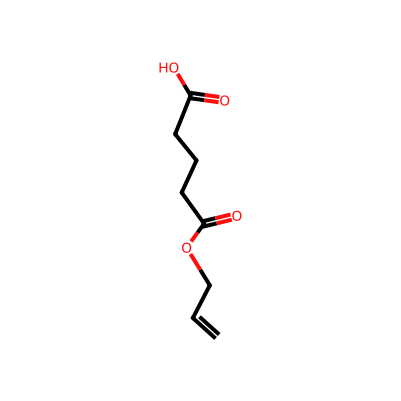 C=CCOC(=O)CCCC(=O)O